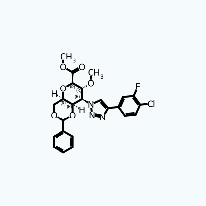 COC(=O)[C@@H]1O[C@@H]2COC(c3ccccc3)O[C@@H]2[C@H](n2cc(-c3ccc(Cl)c(F)c3)nn2)[C@H]1OC